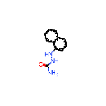 NC(=O)NNc1cccc2ccccc12